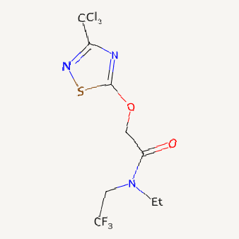 CCN(CC(F)(F)F)C(=O)COc1nc(C(Cl)(Cl)Cl)ns1